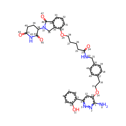 Nc1nnc(-c2ccccc2O)cc1OCCc1ccc(CNC(=O)CCCCOc2cccc3c2CN(C2CCC(=O)NC2=O)C3=O)cc1